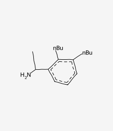 CCCCc1cccc(C(C)N)c1CCCC